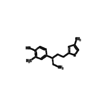 CCC(CCc1cc(C)cs1)c1ccc(O)c(C)c1